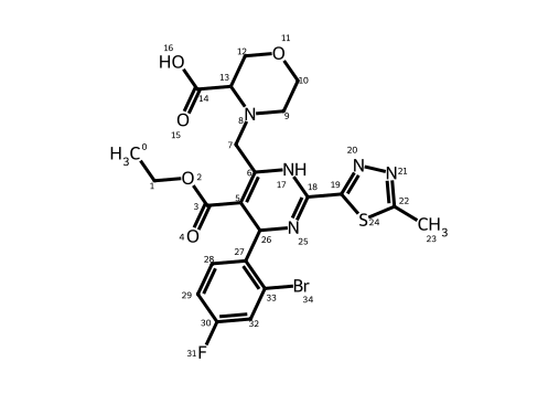 CCOC(=O)C1=C(CN2CCOCC2C(=O)O)NC(c2nnc(C)s2)=NC1c1ccc(F)cc1Br